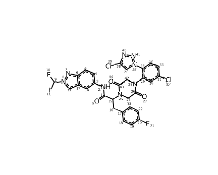 O=C(Nc1ccc2nn(C(F)F)cc2c1)C(Cc1ccc(F)cc1)N1CC(=O)N(c2cc(Cl)ccc2-n2cc(Cl)nn2)CC1=O